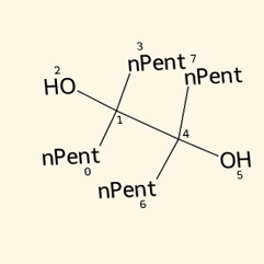 CCCCCC(O)(CCCCC)C(O)(CCCCC)CCCCC